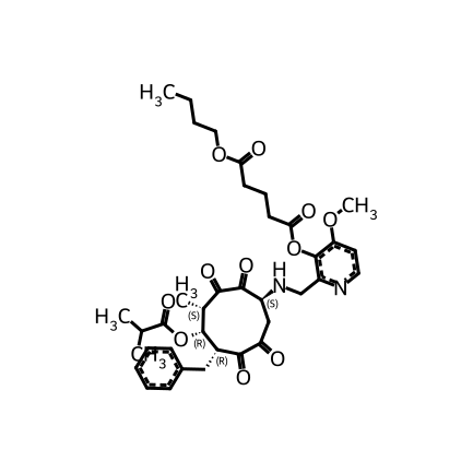 CCCCOC(=O)CCCC(=O)Oc1c(OC)ccnc1CN[C@H]1CC(=O)C(=O)[C@H](Cc2ccccc2)[C@H](OC(=O)C(C)C)[C@H](C)C(=O)C1=O